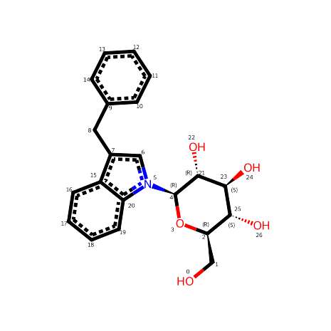 OC[C@H]1O[C@@H](n2cc(Cc3ccccc3)c3ccccc32)[C@H](O)[C@@H](O)[C@@H]1O